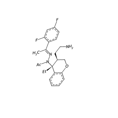 CC[C@]1(N(/N=C(\C)c2ccc(F)cc2F)C(C)=O)c2ccccc2OC[C@@H]1CCN